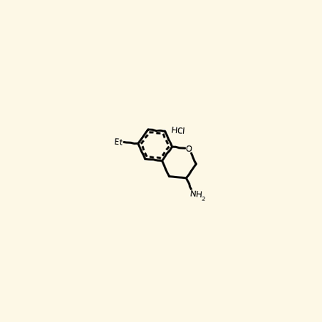 CCc1ccc2c(c1)CC(N)CO2.Cl